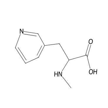 CNC(Cc1cccnc1)C(=O)O